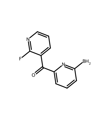 Bc1cccc(C(=O)c2cccnc2F)n1